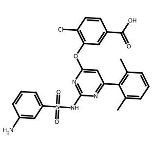 Cc1cccc(C)c1-c1cc(Oc2cc(C(=O)O)ccc2Cl)nc(NS(=O)(=O)c2cccc(N)c2)n1